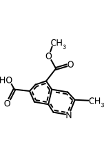 COC(=O)c1cc(C(=O)O)cc2cnc(C)cc12